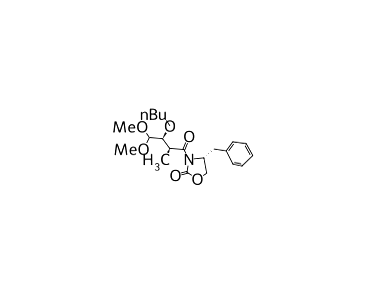 CCCCO[C@H](C(OC)OC)[C@H](C)C(=O)N1C(=O)OC[C@H]1Cc1ccccc1